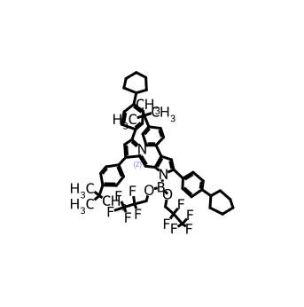 CC(C)(C)c1ccc(C2=CC(c3ccc(C4CCCCC4)cc3)=N/C2=C\c2c(-c3ccc(C(C)(C)C)cc3)cc(-c3ccc(C4CCCCC4)cc3)n2B(OCC(F)(F)C(F)(F)F)OCC(F)(F)C(F)(F)F)cc1